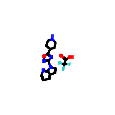 O=C(O)C(F)(F)F.c1cnc2c(c1)ccn2-c1noc(C2CCNCC2)n1